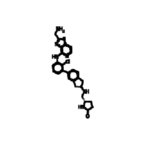 NCc1nc2c(Nc3cccc(-c4ccc5c(c4)CC(NC[C@@H]4CCC(=O)N4)C5)c3Cl)nccc2s1